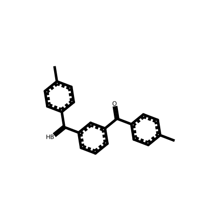 B=C(c1ccc(C)cc1)c1cccc(C(=O)c2ccc(C)cc2)c1